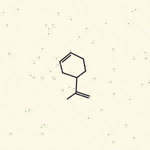 C=C(C)C1CC=[C]CC1